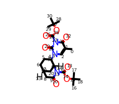 Cc1cn([C@@H]2CC[C@H]3CC(=O)N(C(=O)OC(C)(C)C)[C@@H]2C3)c(=O)n(C(=O)OC(C)(C)C)c1=O